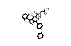 O=C(O)CNC(=O)c1nc(-c2ccc(Oc3ccccc3)cc2)c2snc(-c3ccccc3F)c2c1O